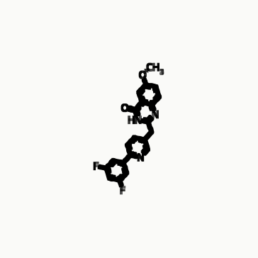 COc1ccc2nc(Cc3ccc(-c4cc(F)cc(F)c4)nc3)[nH]c(=O)c2c1